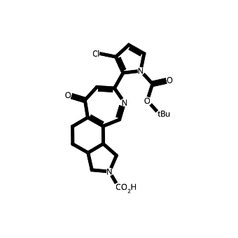 CC(C)(C)OC(=O)n1ccc(Cl)c1-c1cc(=O)c2c(cn1)C1CN(C(=O)O)CC1CC2